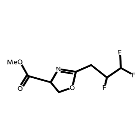 COC(=O)C1COC(CC(F)C(F)F)=N1